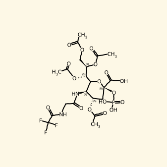 CC(=O)OC[C@@H](OC(C)=O)[C@@H](OC(C)=O)C1O[C@](OP(=O)(O)O)(C(=O)O)C[C@H](OC(C)=O)[C@H]1NC(=O)CNC(=O)C(F)(F)F